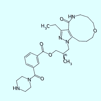 CCc1nn(C[C@@H](C)COC(=O)c2cccc(C(=O)N3CCNCC3)c2)c2c1C(=O)NCCCOCCC2